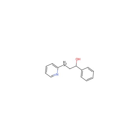 OC(C[SiH2]c1ccccn1)c1ccccc1